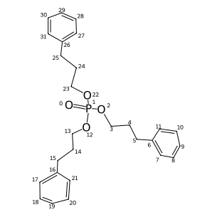 O=P(OCCCc1ccccc1)(OCCCc1ccccc1)OCCCc1ccccc1